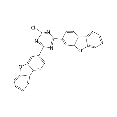 Clc1nc(C2=CC3Oc4ccccc4C3C=C2)nc(-c2ccc3c(c2)oc2ccccc23)n1